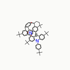 CC(C)(C)c1ccc(N2c3ccc(C(C)(C)C)cc3B3c4cc5c6cc4N(c4ccc(C(C)(C)C)cc4-c4ccc(cc4-c4ccccc4)C6(C)CCC5(C)C)c4cc(C(C)(C)C)cc2c43)cc1